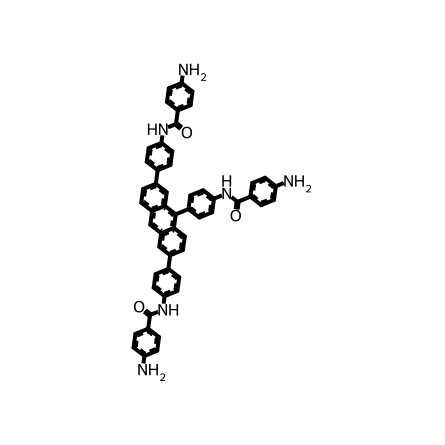 Nc1ccc(C(=O)Nc2ccc(-c3ccc4c(-c5ccc(NC(=O)c6ccc(N)cc6)cc5)c5cc(-c6ccc(NC(=O)c7ccc(N)cc7)cc6)ccc5cc4c3)cc2)cc1